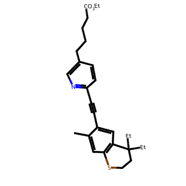 CCOC(=O)CCCCc1ccc(C#Cc2cc3c(cc2C)SCCC3(CC)CC)nc1